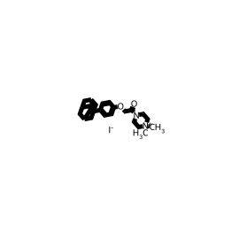 C[N+]1(C)CCN(C(=O)COc2ccc(C34CC5CC(CC(C5)C3)C4)cc2)CC1.[I-]